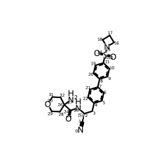 N#C[C@H](Cc1ccc(-c2ccc(S(=O)(=O)N3CCC3)cc2)cc1)NC(=O)C1(N)CCOCC1